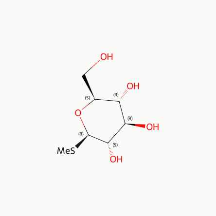 CS[C@H]1O[C@@H](CO)[C@H](O)[C@@H](O)[C@@H]1O